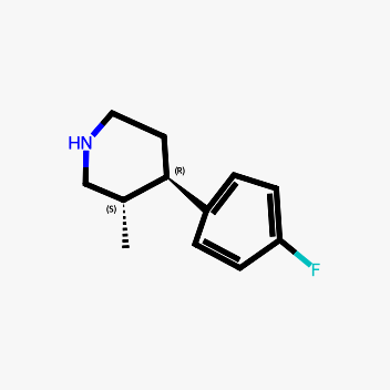 C[C@@H]1CNCC[C@H]1c1ccc(F)cc1